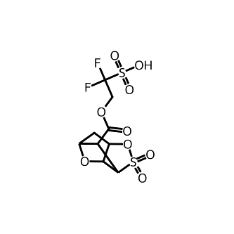 O=C(OCC(F)(F)S(=O)(=O)O)C1C2CC3OS(=O)(=O)C1C3O2